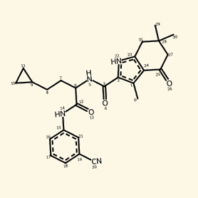 Cc1c(C(=O)NC(CCC2CC2)C(=O)Nc2cccc(C#N)c2)[nH]c2c1C(=O)CC(C)(C)C2